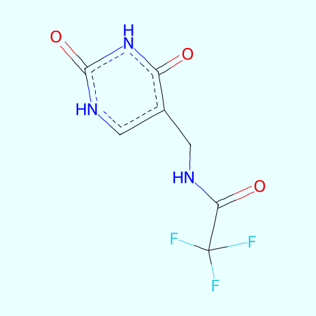 O=C(NCc1c[nH]c(=O)[nH]c1=O)C(F)(F)F